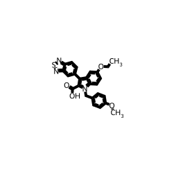 CCOc1ccc2c(c1)c(-c1ccc3nsnc3c1)c(C(=O)O)n2Cc1ccc(OC)cc1